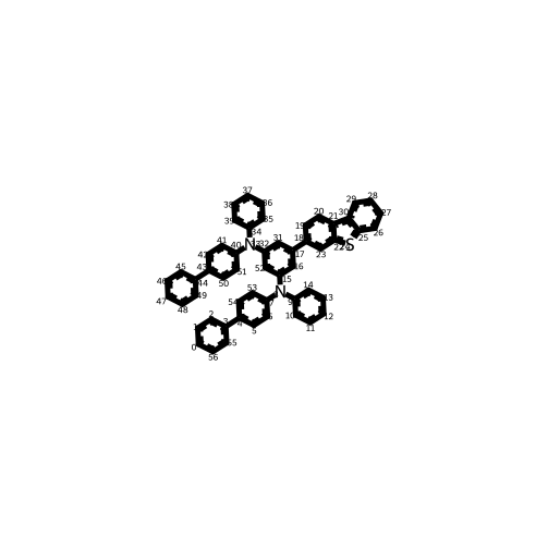 c1ccc(-c2ccc(N(c3ccccc3)c3cc(-c4ccc5c(c4)sc4ccccc45)cc(N(c4ccccc4)c4ccc(-c5ccccc5)cc4)c3)cc2)cc1